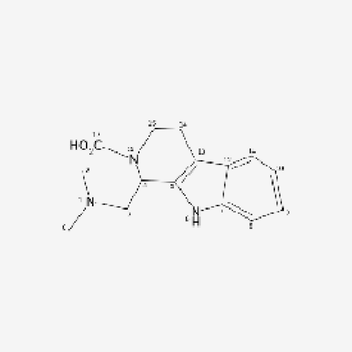 CN(C)CC1c2[nH]c3ccccc3c2CCN1C(=O)O